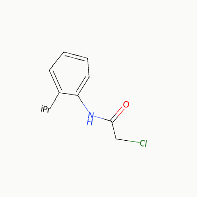 CC(C)c1ccccc1NC(=O)CCl